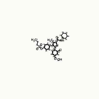 CCCS(=O)(=O)Oc1ccc(-c2c(C)c(C(=O)NN3CCCCC3)nn2-c2ccc(Cl)cc2Cl)cc1.Cl